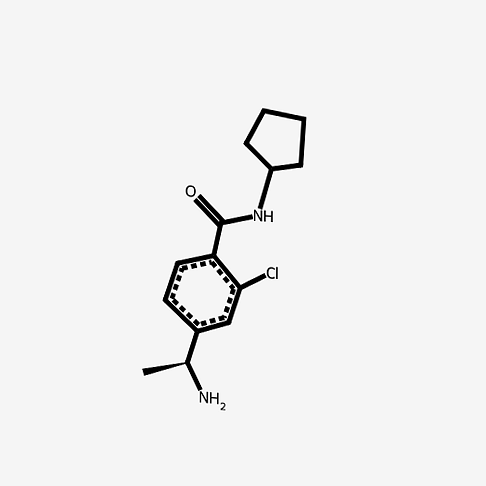 C[C@H](N)c1ccc(C(=O)NC2CCCC2)c(Cl)c1